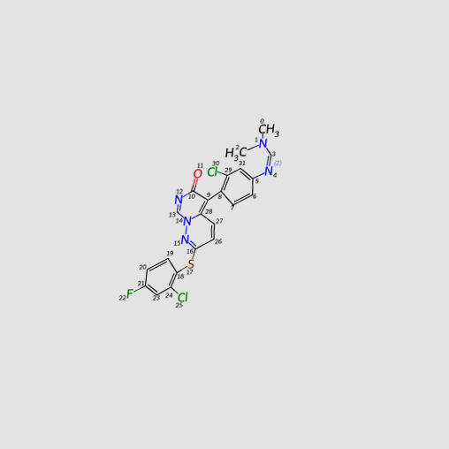 CN(C)/C=N\c1ccc(-c2c(=O)ncn3nc(Sc4ccc(F)cc4Cl)ccc23)c(Cl)c1